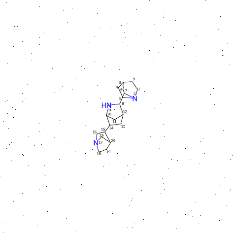 C1CN2CCC1CC2C1NC2CC1CC2C1CN2CCC1C2